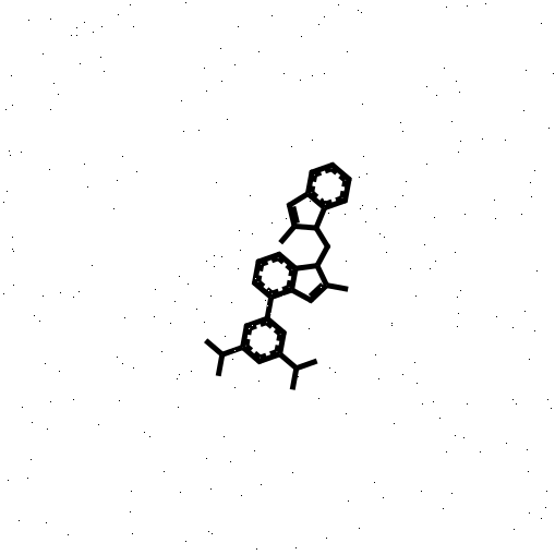 CC1=Cc2ccccc2C1CC1C(C)=Cc2c(-c3cc(C(C)C)cc(C(C)C)c3)cccc21